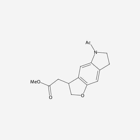 COC(=O)CC1COc2cc3c(cc21)N(C(C)=O)CC3